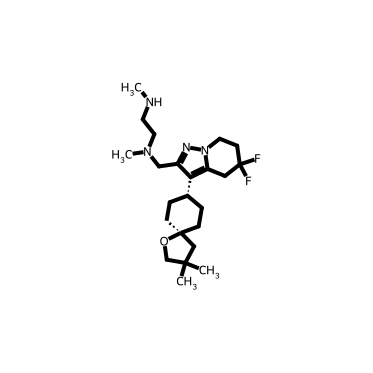 CNCCN(C)Cc1nn2c(c1[C@H]1CC[C@]3(CC1)CC(C)(C)CO3)CC(F)(F)CC2